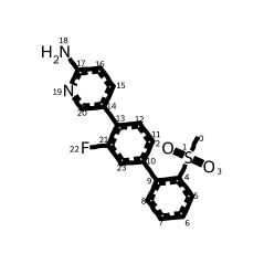 CS(=O)(=O)c1ccccc1-c1ccc(-c2ccc(N)nc2)c(F)c1